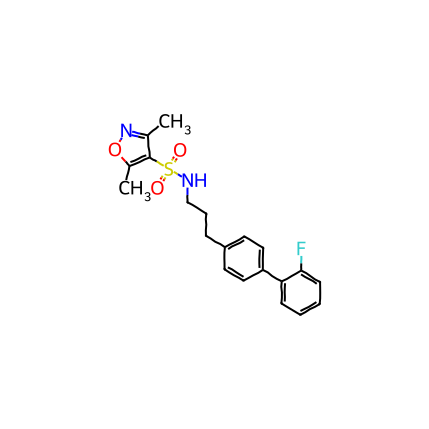 Cc1noc(C)c1S(=O)(=O)NCCCc1ccc(-c2ccccc2F)cc1